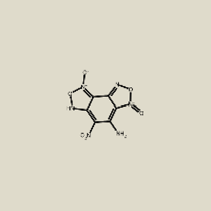 Nc1c([N+](=O)[O-])c2[nH]o[n+]([O-])c2c2no[n+](=O)c12